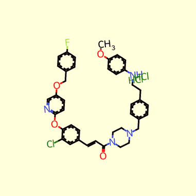 COc1ccc(NCCc2ccc(CN3CCN(C(=O)/C=C/c4ccc(Oc5ccc(OCc6ccc(F)cc6)cn5)c(Cl)c4)CC3)cc2)cc1.Cl.Cl